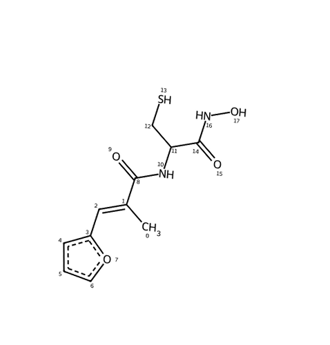 C/C(=C\c1ccco1)C(=O)NC(CS)C(=O)NO